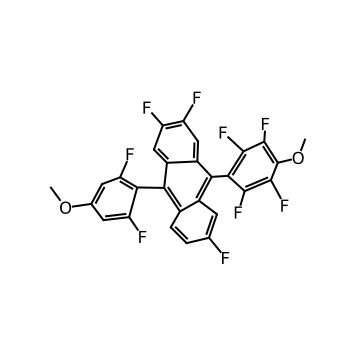 COc1cc(F)c(-c2c3ccc(F)cc3c(-c3c(F)c(F)c(OC)c(F)c3F)c3cc(F)c(F)cc23)c(F)c1